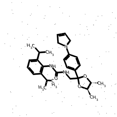 CC(C)c1cccc(C(C)C)c1NC(=O)NCC1(c2ccc(N3CC=CC3)cc2)O[C@H](C)[C@@H](C)O1